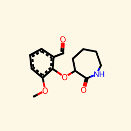 COc1cccc(C=O)c1OC1CCCCNC1=O